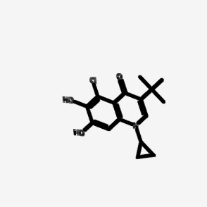 CC(C)(C)c1cn(C2CC2)c2cc(O)c(O)c(Cl)c2c1=O